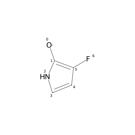 [O]c1[nH]ccc1F